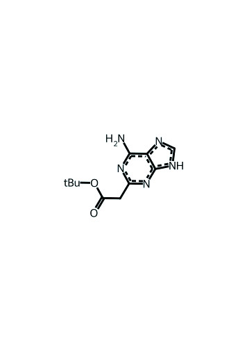 CC(C)(C)OC(=O)Cc1nc(N)c2nc[nH]c2n1